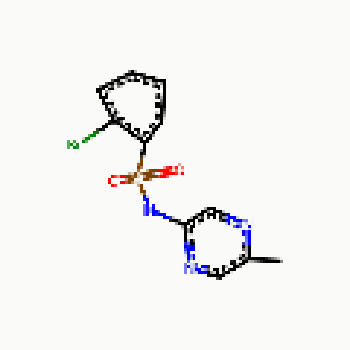 Cc1cnc(NS(=O)(=O)c2ccccc2Br)cn1